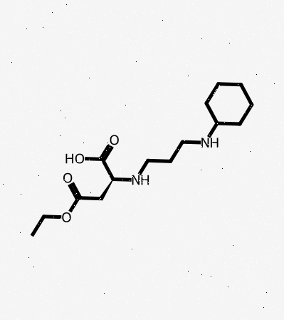 CCOC(=O)C[C@H](NCCCNC1CCCCC1)C(=O)O